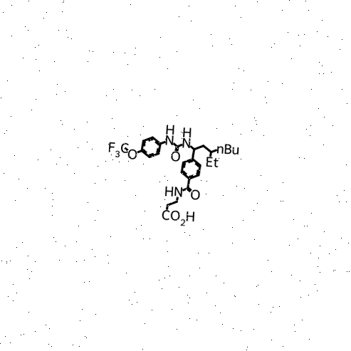 CCCCC(CC)CC(NC(=O)Nc1ccc(OC(F)(F)F)cc1)c1ccc(C(=O)NCCC(=O)O)cc1